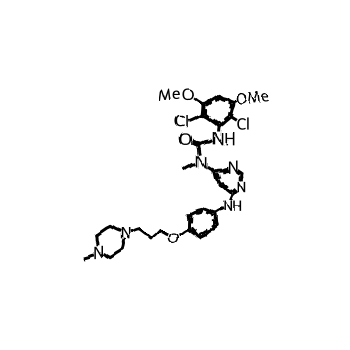 COc1cc(OC)c(Cl)c(NC(=O)N(C)c2cc(Nc3ccc(OCCCN4CCN(C)CC4)cc3)ncn2)c1Cl